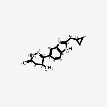 CC1CC(=O)NN=C1c1ccc2[nH]c(CC3CC3)nc2c1